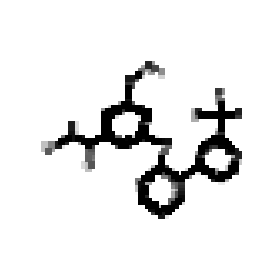 CNC(=O)c1cc(OC)cc(Oc2ncccc2-c2ccnc(C(F)(F)F)c2)c1